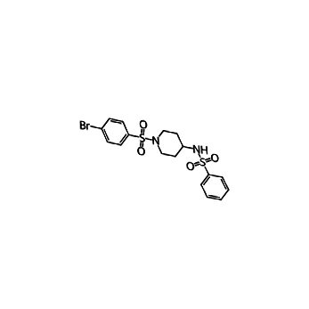 O=S(=O)(NC1CCN(S(=O)(=O)c2ccc(Br)cc2)CC1)c1ccccc1